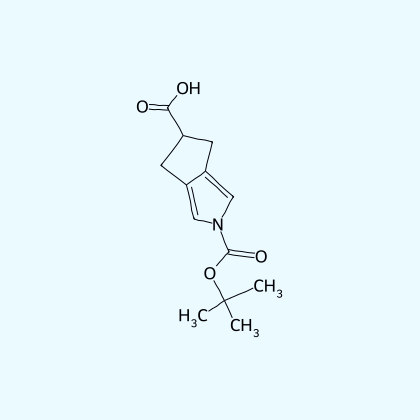 CC(C)(C)OC(=O)n1cc2c(c1)CC(C(=O)O)C2